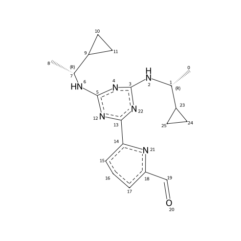 C[C@@H](Nc1nc(N[C@H](C)C2CC2)nc(-c2cccc(C=O)n2)n1)C1CC1